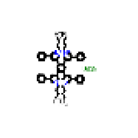 CCCCC[n+]1cc(-c2ccccc2)cc(-c2cc(-c3cc(-c4ccccc4)c[n+](CCCCC)c3)c(-c3cc(-c4ccccc4)c[n+](CCCCC)c3)cc2-c2cc(-c3ccccc3)c[n+](CCCCC)c2)c1.[Br-].[Br-].[Br-].[Br-]